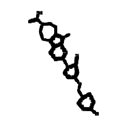 Cn1c2c(c3ccc(-n4ccc(OCc5ccc(Cl)cc5)cc4=O)nc31)CCN(C(=O)O)CC2